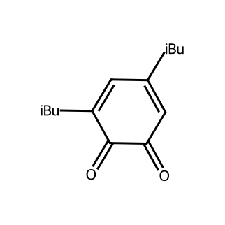 CCC(C)C1=CC(=O)C(=O)C(C(C)CC)=C1